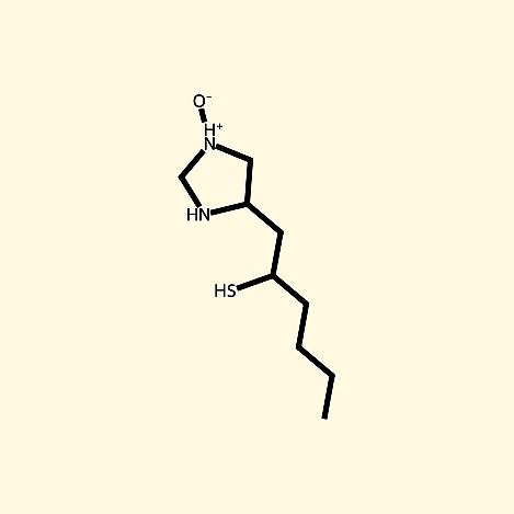 CCCCC(S)CC1C[NH+]([O-])CN1